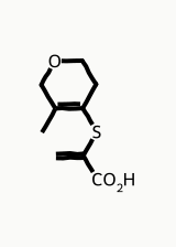 C=C(SC1=C(C)COCC1)C(=O)O